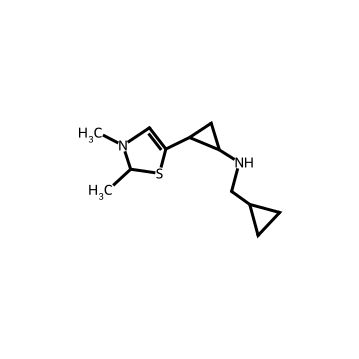 CC1SC(C2CC2NCC2CC2)=CN1C